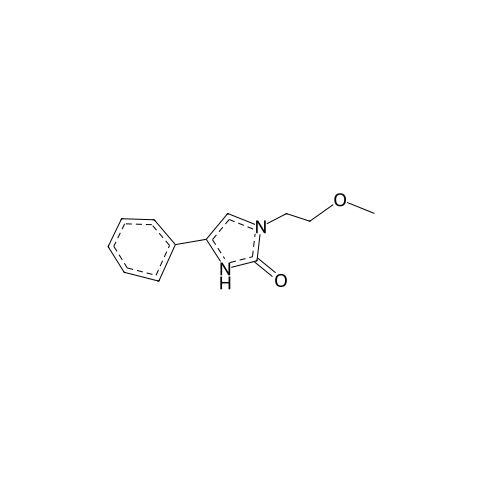 COCCn1cc(-c2ccccc2)[nH]c1=O